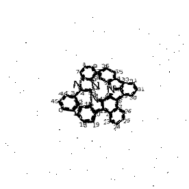 c1ccc(-c2nc3ccccc3nc2-n2c3ccccc3c3c4ccccc4c4c5cccc6c7ccccc7n(c65)c4c32)cc1